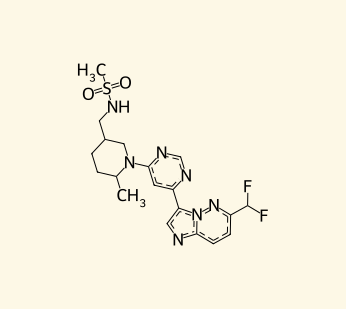 CC1CCC(CNS(C)(=O)=O)CN1c1cc(-c2cnc3ccc(C(F)F)nn23)ncn1